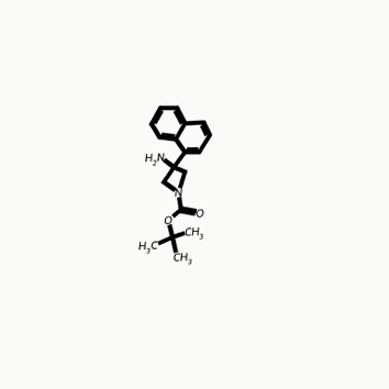 CC(C)(C)OC(=O)N1CC(N)(c2cccc3ccccc23)C1